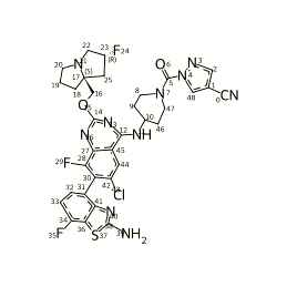 N#Cc1cnn(C(=O)N2CCC(Nc3nc(OC[C@@]45CCCN4C[C@H](F)C5)nc4c(F)c(-c5ccc(F)c6sc(N)nc56)c(Cl)cc34)CC2)c1